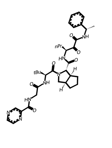 CCC[C@H](NC(=O)[C@@H]1[C@H]2CCC[C@H]2CN1C(=O)[C@@H](NC(=O)CNC(=O)c1cnccn1)C(C)(C)C)C(=O)C(=O)N[C@@H](C)c1ccccc1